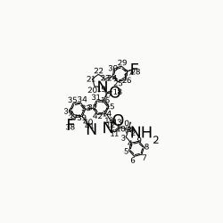 C[C@@](N)(Cc1ccccc1)c1cnc(-c2cc(C(=O)N3CCCC3c3ccc(F)cc3)cc(-c3cccc(F)c3C#N)c2)o1